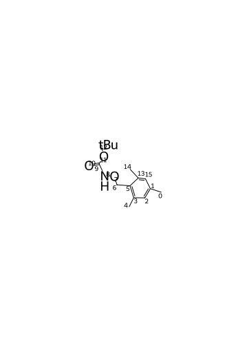 Cc1cc(C)c(CONC(=O)OC(C)(C)C)c(C)c1